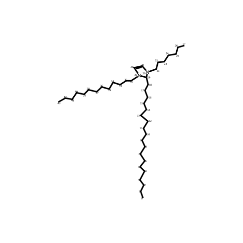 CCCCCCCCCCCCCCCCCCCC1N(CCCCCCC)C=CN1CCCCCCCCCCCCC